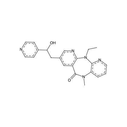 CCN1c2ncc(CC(O)c3ccncc3)cc2C(=O)N(C)c2cccnc21